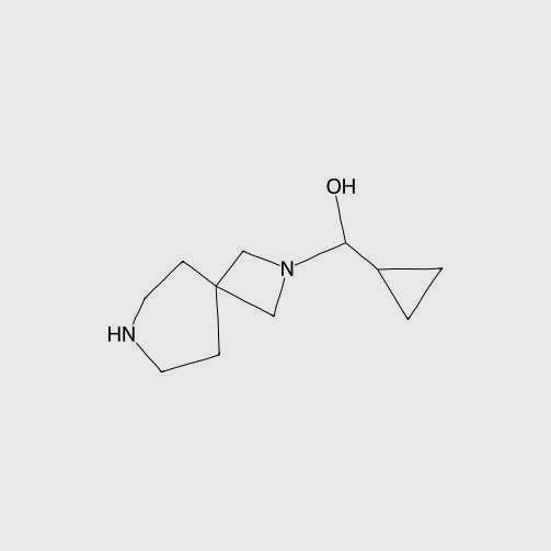 OC(C1CC1)N1CC2(CCNCC2)C1